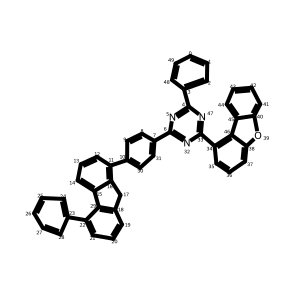 c1ccc(-c2nc(-c3ccc(-c4cccc5c4Cc4cccc(-c6ccccc6)c4-5)cc3)nc(-c3cccc4oc5ccccc5c34)n2)cc1